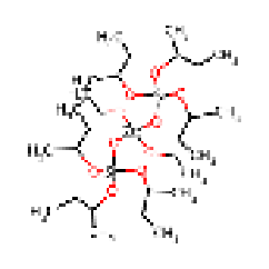 CC[O][Zr]([O]CC)([O][Si](OC(C)CC)(OC(C)CC)OC(C)CC)[O][Si](OC(C)CC)(OC(C)CC)OC(C)CC